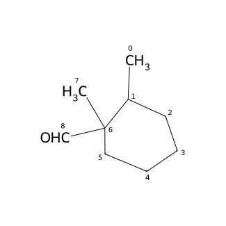 CC1CCCCC1(C)C=O